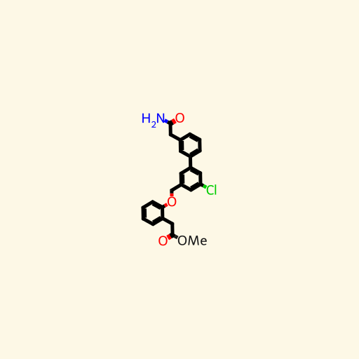 COC(=O)Cc1ccccc1OCc1cc(Cl)cc(-c2cccc(CC(N)=O)c2)c1